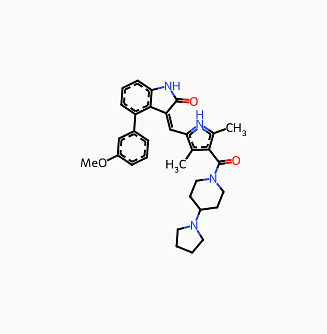 COc1cccc(-c2cccc3c2/C(=C/c2[nH]c(C)c(C(=O)N4CCC(N5CCCC5)CC4)c2C)C(=O)N3)c1